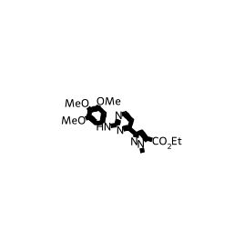 CCOC(=O)c1cc(-c2ccnc(Nc3cc(OC)c(OC)c(OC)c3)n2)nn1C